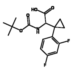 CC(C)(C)OC(=O)NC(C(=O)O)C1(c2ccc(F)cc2F)CC1